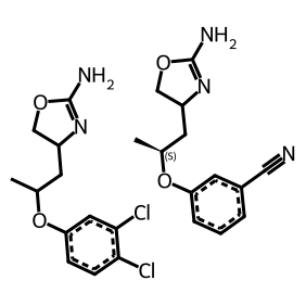 CC(CC1COC(N)=N1)Oc1ccc(Cl)c(Cl)c1.C[C@@H](CC1COC(N)=N1)Oc1cccc(C#N)c1